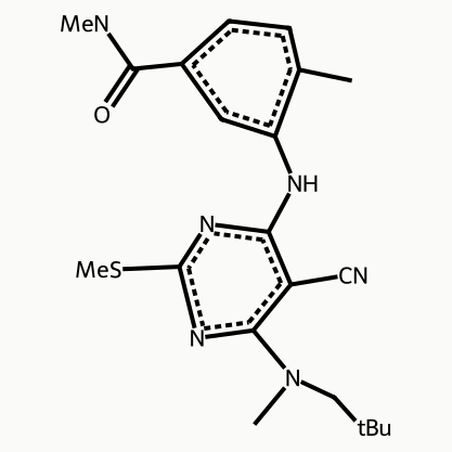 CNC(=O)c1ccc(C)c(Nc2nc(SC)nc(N(C)CC(C)(C)C)c2C#N)c1